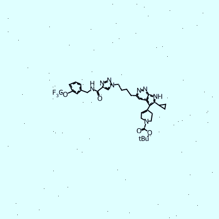 CC(C)(C)OC(=O)N1CC=C(c2c(C3CC3)[nH]c3nnc(CCCCn4cc(C(=O)NCc5cccc(OC(F)(F)F)c5)nn4)cc23)CC1